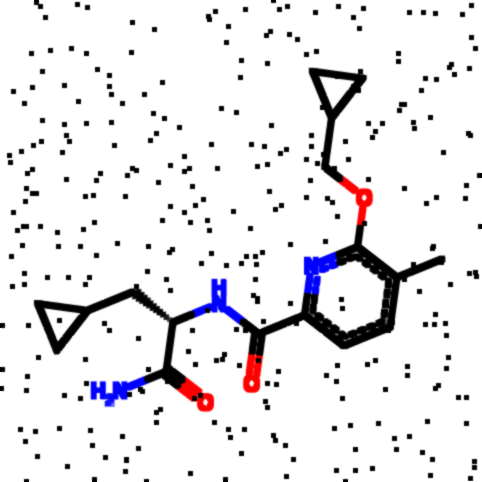 Cc1ccc(C(=O)N[C@@H](CC2CC2)C(N)=O)nc1OCC1CC1